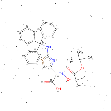 CC(C)(C)OC(=O)C1(O/N=C(\C(=O)O)c2csc(NC(c3ccccc3)(c3ccccc3)c3ccccc3)n2)CCC1